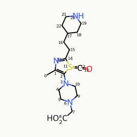 CC1=C(N2CCN(CC(=O)O)CC2)S(=C=O)C(CCC2CCNCC2)=N1